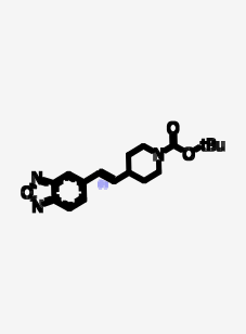 CC(C)(C)OC(=O)N1CCC(/C=C/c2ccc3nonc3c2)CC1